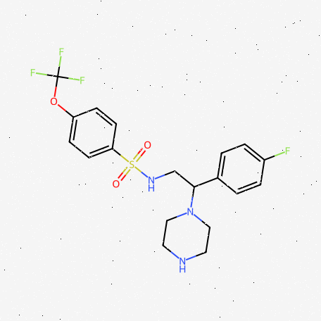 O=S(=O)(NCC(c1ccc(F)cc1)N1CCNCC1)c1ccc(OC(F)(F)F)cc1